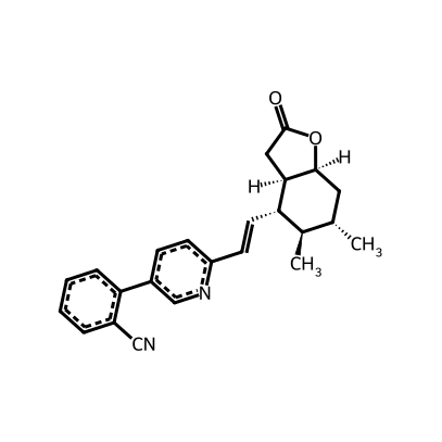 C[C@H]1[C@H](/C=C/c2ccc(-c3ccccc3C#N)cn2)[C@H]2CC(=O)O[C@H]2C[C@@H]1C